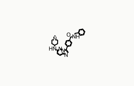 CN1CCC(Nc2ccc3ncc(-c4ccc(C(=O)NCc5ccccc5)cc4)n3n2)CC1